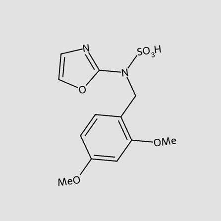 COc1ccc(CN(c2ncco2)S(=O)(=O)O)c(OC)c1